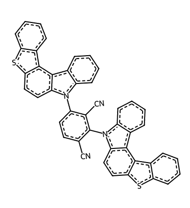 N#Cc1ccc(-n2c3ccccc3c3c4c(ccc32)sc2ccccc24)c(C#N)c1-n1c2ccccc2c2c3c(ccc21)sc1ccccc13